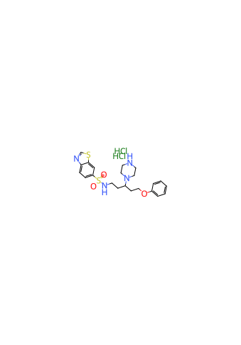 Cl.Cl.O=S(=O)(NCCC(CCOc1ccccc1)N1CCNCC1)c1ccc2ncsc2c1